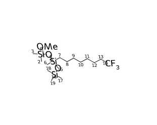 CO[Si](C)(C)O[Si](C)(CCCCCCCC(F)(F)F)O[Si](C)(C)C